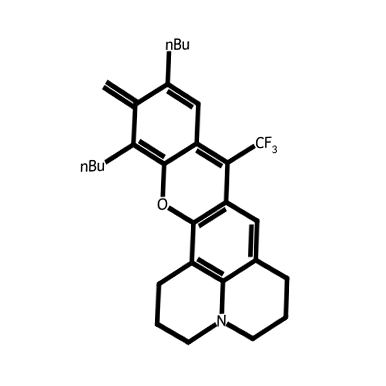 C=c1c(CCCC)cc2c(c1CCCC)Oc1c(cc3c4c1CCCN4CCC3)C=2C(F)(F)F